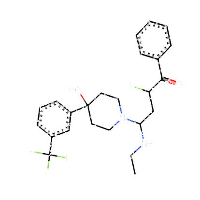 CCNC(CC(F)C(=O)c1ccccc1)N1CCC(O)(c2cccc(C(F)(F)F)c2)CC1